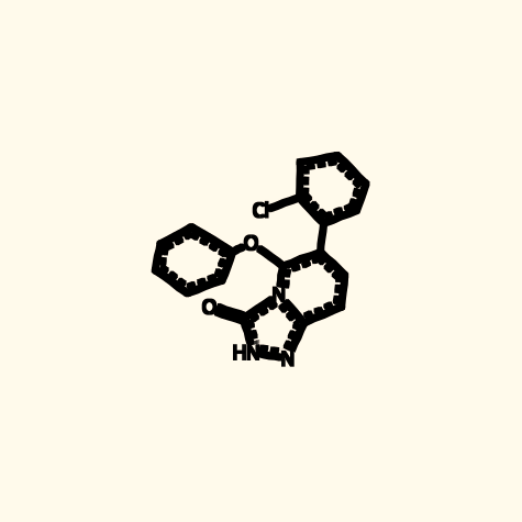 O=c1[nH]nc2ccc(-c3ccccc3Cl)c(Oc3ccccc3)n12